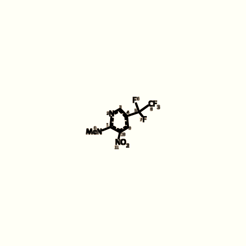 CNc1ncc(C(F)(F)C(F)(F)F)cc1[N+](=O)[O-]